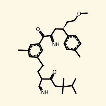 COCC[C@H](CC(=N)C(=O)c1cc(C)cc(CCC(C=N)C(=O)CC(C)(C)C(C)C)c1)c1ccc(C)cc1